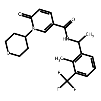 Cc1c(C(C)NC(=O)c2ccc(=O)n(C3CCOCC3)c2)cccc1C(F)(F)F